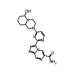 NC(=O)c1cn2c(-c3nccc(N4CCN5C(O)CCCC5C4)n3)cnc2cn1